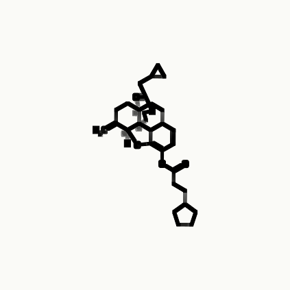 C=C1CC[C@@]2(O)C3CC4C=CC(OC(=O)CCC5CCCC5)=C5O[C@@H]1[C@]2(CCN3CC1CC1)C54